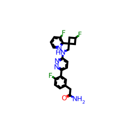 NC(=O)Cc1ccc(F)c(-c2ccc(NCC3(c4ncccc4F)CC(F)C3)nn2)c1